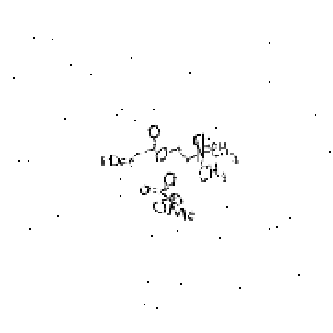 CCCCCCCCCCCC(=O)OCC[N+](C)(C)C.COS(=O)(=O)[O-]